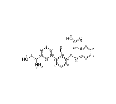 NC(CO)c1cccc(-c2cccc(COc3ccccc3CC(=O)O)c2F)c1